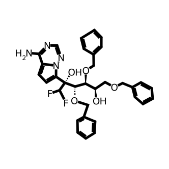 Nc1ncnn2c([C@](O)(C(F)F)[C@@H](OCc3ccccc3)[C@@H](OCc3ccccc3)[C@H](O)COCc3ccccc3)ccc12